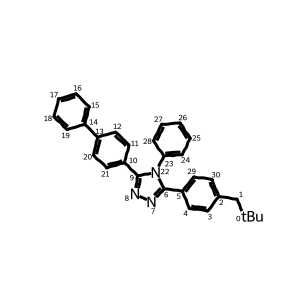 CC(C)(C)Cc1ccc(-c2nnc(-c3ccc(-c4ccccc4)cc3)n2-c2ccccc2)cc1